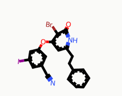 N#Cc1cc(I)cc(Oc2cc(CCc3ccccc3)[nH]c(=O)c2Br)c1